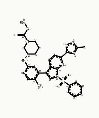 Cc1noc(-c2ccc3c(-c4nc(N[C@H]5CCCN(C(=O)OC(C)(C)C)C5)ncc4C(F)(F)F)cn(S(=O)(=O)c4ccccc4)c3n2)n1